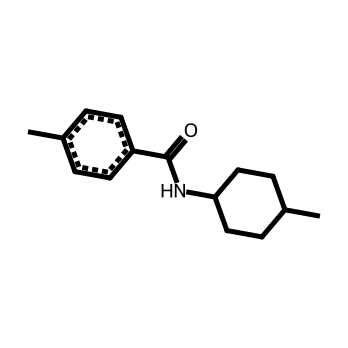 Cc1ccc(C(=O)NC2CCC(C)CC2)cc1